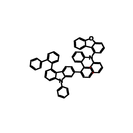 c1ccc(-c2ccccc2-c2cccc3c2c2ccc(-c4ccccc4-c4ccccc4N(c4ccccc4)c4cccc5oc6ccccc6c45)cc2n3-c2ccccc2)cc1